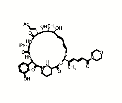 CC(=O)CC[C@H]1C(=O)N[C@@H](C(C)C)C(=O)NC(c2cccc(O)c2)C(=O)N2CCCC(N2)C(=O)O[C@H](/C(C)=C/C=C/C(=O)N2CCOCC2)C/C=C/C=C/[C@H](O)[C@H](C)[C@H]1O